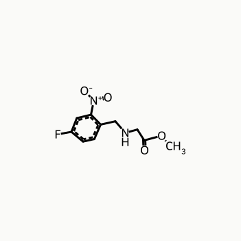 COC(=O)CNCc1ccc(F)cc1[N+](=O)[O-]